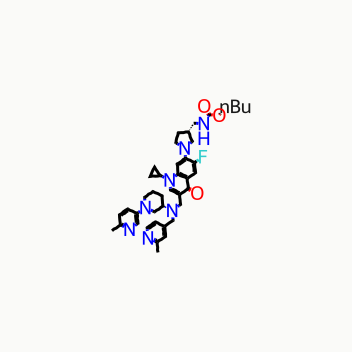 CCCCOC(=O)NC[C@H]1CCN(c2cc3c(cc2F)c(=O)c(CN(Cc2ccnc(C)c2)[C@H]2CCCN(c4ccc(C)nc4)C2)cn3C2CC2)C1